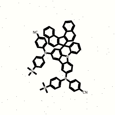 C[Si](C)(C)c1ccc(N(c2ccc(C#N)cc2)c2ccc3c(c2)c2cc(N(c4ccc(C#N)cc4)c4ccc([Si](C)(C)C)cc4)cc4c2n3-c2ccccc2C42c3ccc4ccccc4c3-c3c2ccc2ccccc32)cc1